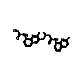 Cc1ccc2cccc(NC(=O)CC(C)Cc3cc4cccc(NC(=O)C(C)(C)C)c4nc3C)c2n1